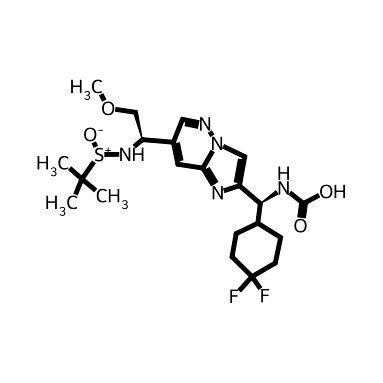 COC[C@H](N[S+]([O-])C(C)(C)C)c1cnn2cc([C@@H](NC(=O)O)C3CCC(F)(F)CC3)nc2c1